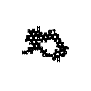 CO[C@@H](C)COc1nc(N2CC(C#N)C2)c2cc(C3CC3)c(-c3c(C)c(F)cc4[nH]ncc34)c(OCc3ccc(C(=O)N4CCN(Cc5ccc6c(c5)n(C)c(=O)n6C5CCC(=O)NC5=O)C[C@@H]4C)cc3)c2n1